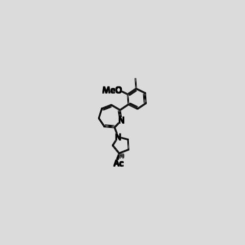 COc1c(C)cccc1C1=NC(N2CC[C@@H](C(C)=O)C2)=CCC=C1